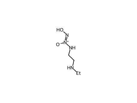 CCNCCN[N+]([O-])=NO